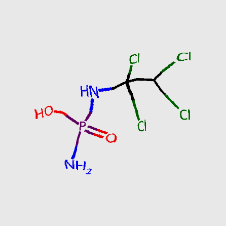 NP(=O)(O)NC(Cl)(Cl)C(Cl)Cl